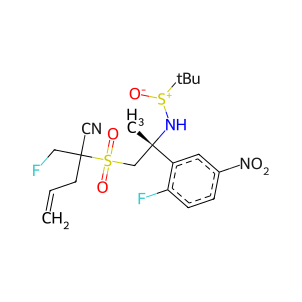 C=CCC(C#N)(CF)S(=O)(=O)C[C@](C)(N[S+]([O-])C(C)(C)C)c1cc([N+](=O)[O-])ccc1F